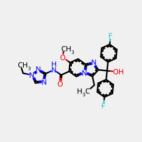 CCc1c(C(O)(c2ccc(F)cc2)c2ccc(F)cc2)nc2cc(OC)c(C(=O)Nc3ncn(CC)n3)cn12